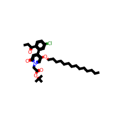 CCCCCCCCCCCCCCOc1cn(CC(=O)OC(C)(C)C)c(=O)cc1-c1cc(Cl)ccc1C(=O)CC